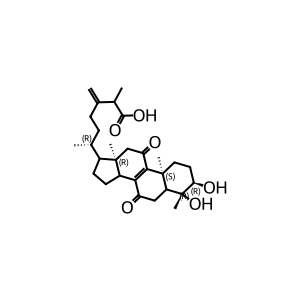 C=C(CC[C@@H](C)C1CCC2C3=C(C(=O)C[C@@]21C)[C@@]1(C)CC[C@@H](O)[C@](C)(O)C1CC3=O)C(C)C(=O)O